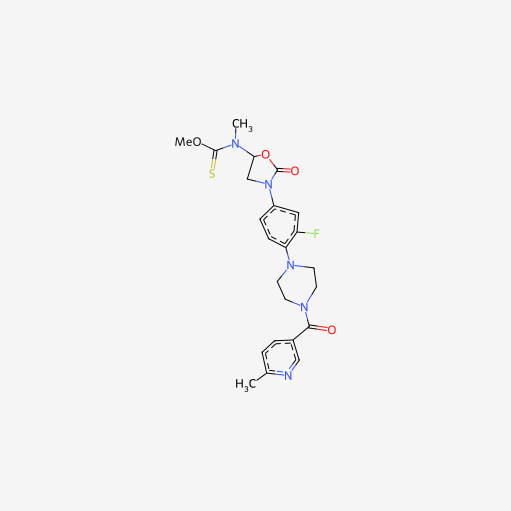 COC(=S)N(C)C1CN(c2ccc(N3CCN(C(=O)c4ccc(C)nc4)CC3)c(F)c2)C(=O)O1